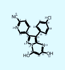 N#Cc1ccc(-c2nn3c(O)cc(O)nc3c2-c2ccc(Cl)cc2)cn1